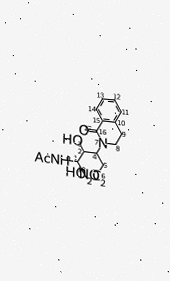 CC(=O)NC(C(O)C(CC(=O)O)N1CCc2ccccc2C1=O)[N+](=O)[O-]